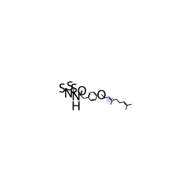 CC(C)=CCC/C(C)=C/COc1ccc(CC(=O)Nc2nc(=S)ss2)cc1